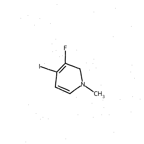 CN1C=CC(I)=C(F)C1